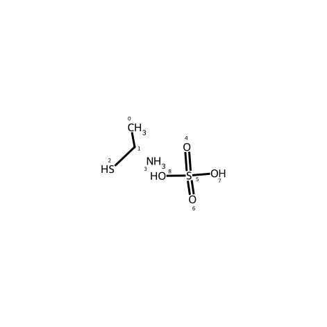 CCS.N.O=S(=O)(O)O